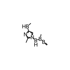 C=BB(C)Bn1cc(BC)nc1C